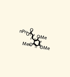 CCCOC(=O)C=Cc1c(OC)cc(OC)cc1OC